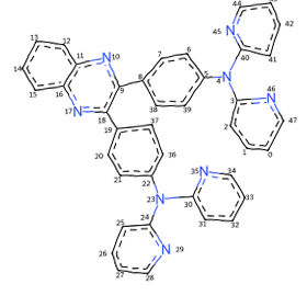 c1ccc(N(c2ccc(-c3nc4ccccc4nc3-c3ccc(N(c4ccccn4)c4ccccn4)cc3)cc2)c2ccccn2)nc1